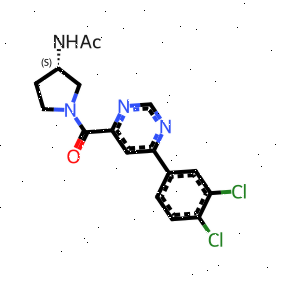 CC(=O)N[C@H]1CCN(C(=O)c2cc(-c3ccc(Cl)c(Cl)c3)ncn2)C1